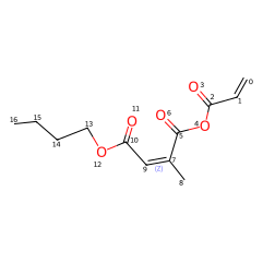 C=CC(=O)OC(=O)/C(C)=C\C(=O)OCCCC